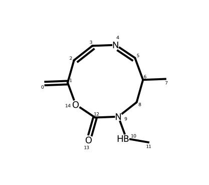 C=C1/C=C\N=C/C(C)CN(BC)C(=O)O1